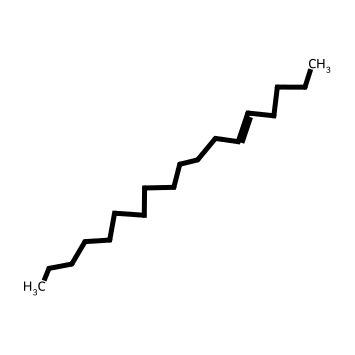 CCCCC=CCCCCCCCCCCCC